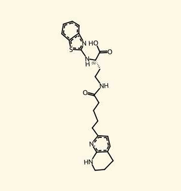 O=C(CCCCc1ccc2c(n1)NCCC2)NCC[C@H](Nc1nc2ccccc2s1)C(=O)O